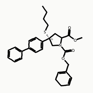 CCCCS[C@]1(c2ccc(-c3ccccc3)cc2)CC(C(=O)OC)N(C(=O)OCC2=CCCC=C2)C1